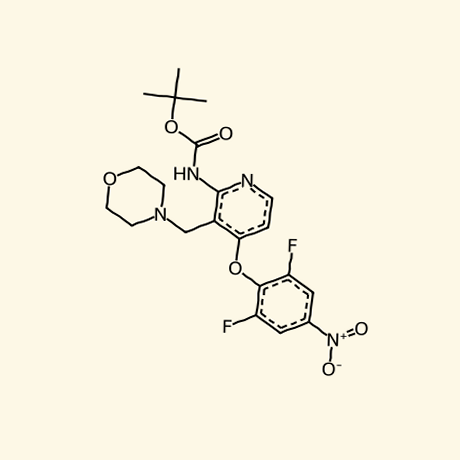 CC(C)(C)OC(=O)Nc1nccc(Oc2c(F)cc([N+](=O)[O-])cc2F)c1CN1CCOCC1